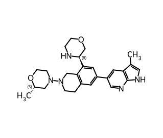 Cc1c[nH]c2ncc(-c3cc4c(c([C@@H]5COCCN5)c3)CN(N3CCO[C@@H](C)C3)CC4)cc12